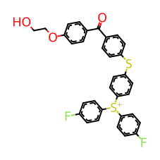 O=C(c1ccc(OCCO)cc1)c1ccc(Sc2ccc([S+](c3ccc(F)cc3)c3ccc(F)cc3)cc2)cc1